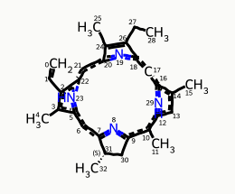 C=Cc1c(C)c2cc3nc(c(C)c4cc(C)c(cc5nc(cc1[nH]2)C(C)=C5CC)[nH]4)C[C@@H]3C